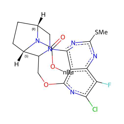 CCCCOC(=O)N1[C@@H]2CC[C@H]1C1COc3nc(Cl)c(F)c4nc(SC)nc(c34)N1C2